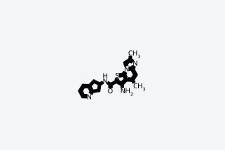 Cc1cn2c(cc(C)c3c(N)c(C(=O)NC4Cc5cccnc5C4)sc32)n1